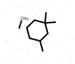 CC1CCCC(C)(C)C1.COC(C)=O